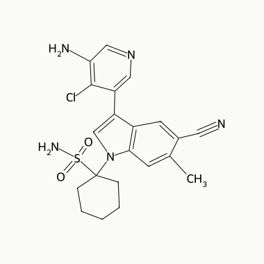 Cc1cc2c(cc1C#N)c(-c1cncc(N)c1Cl)cn2C1(S(N)(=O)=O)CCCCC1